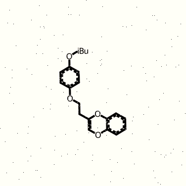 CCC(C)Oc1ccc(OCCC2=COc3ccccc3O2)cc1